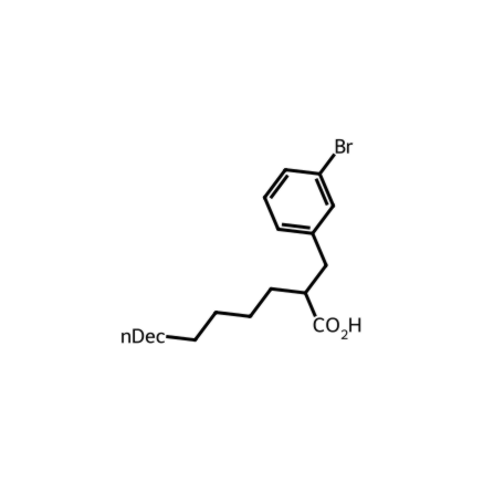 CCCCCCCCCCCCCCC(Cc1cccc(Br)c1)C(=O)O